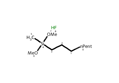 CCCCCCCC[Si](C)(OC)OC.F